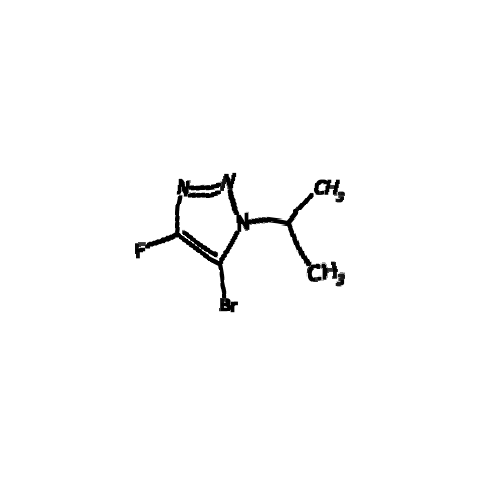 CC(C)n1nnc(F)c1Br